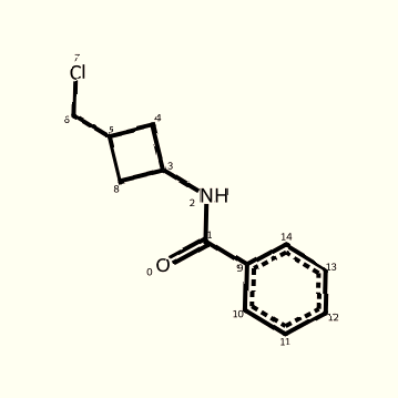 O=C(NC1CC(CCl)C1)c1ccccc1